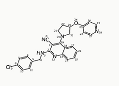 N#Cc1c(NCc2ccc(Cl)cc2)nc2ccccc2c1N1CCC(Oc2ccncc2)C1